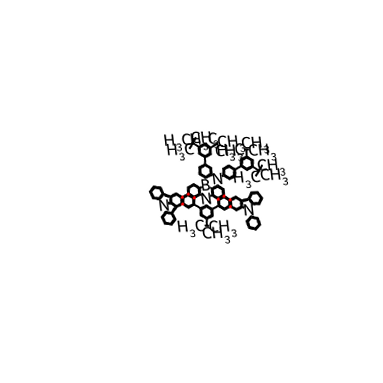 CC(C)(C)c1cc(-c2ccc(N3c4cc(-c5cc(C(C)(C)C)cc(C(C)(C)C)c5)ccc4B4c5ccc(-c6cc7c8ccccc8n8c9ccccc9c(c6)c78)cc5N(c5c(-c6ccccc6)cc(C(C)(C)C)cc5-c5ccccc5)c5cc(-c6ccc7c(c6)c6ccccc6n7-c6ccccc6)cc3c54)cc2)cc(C(C)(C)C)c1